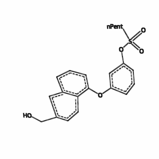 CCCCCS(=O)(=O)Oc1cccc(Oc2cccc3cc(CO)ccc23)c1